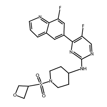 O=S(=O)(C1COC1)N1CCC(Nc2ncc(F)c(-c3cc(F)c4ncccc4c3)n2)CC1